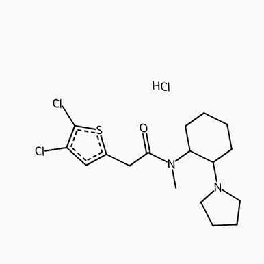 CN(C(=O)Cc1cc(Cl)c(Cl)s1)C1CCCCC1N1CCCC1.Cl